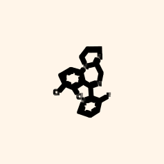 Fc1cccnc1C1=NCC2=NC=CCN2c2ccc(Cl)c(Cl)c21